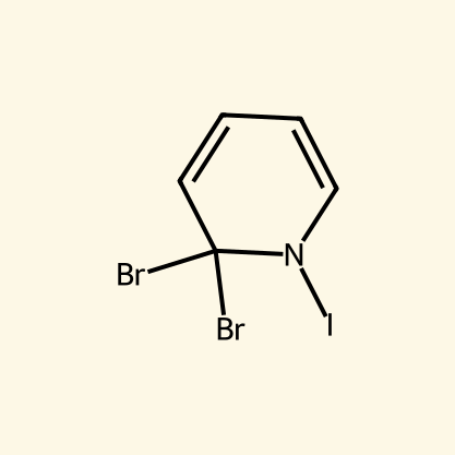 BrC1(Br)C=CC=CN1I